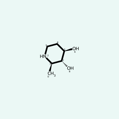 C[C@H]1NCC[C@@H](O)[C@@H]1O